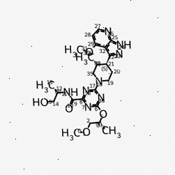 COC[C@@H](C)Oc1nc(C(=O)N[C@H](C)CO)nc(N2CC[C@H](c3n[nH]c4nccc(OC)c34)[C@@H](C)C2)n1